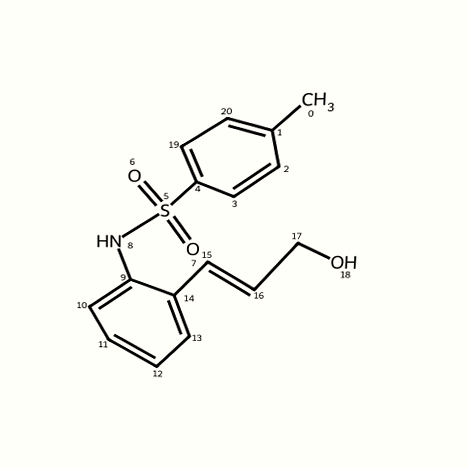 Cc1ccc(S(=O)(=O)Nc2ccccc2C=CCO)cc1